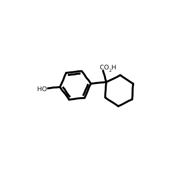 O=C(O)C1(c2ccc(O)cc2)CCCCC1